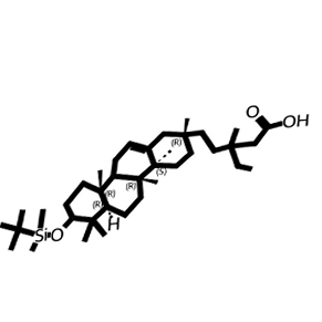 CCC(C)(CC[C@]1(C)CC[C@]2(C)C(=CCC3[C@@]4(C)CCC(O[Si](C)(C)C(C)(C)C)C(C)(C)[C@@H]4CC[C@]32C)C1)CC(=O)O